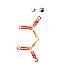 O=P(=O)SP(=O)=O.[Li].[Si]